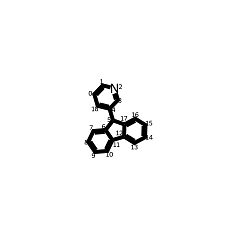 c1cncc(C2c3ccccc3-c3ccccc32)c1